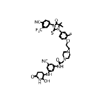 CC1(C)C(=O)N(c2ccc(C#N)c(C(F)(F)F)c2)C(=S)N1c1ccc(OCCN2CCN(CC(=O)Nc3cc(C#N)cc(NC4CCC(=O)NC4O)c3)CC2)c(F)c1